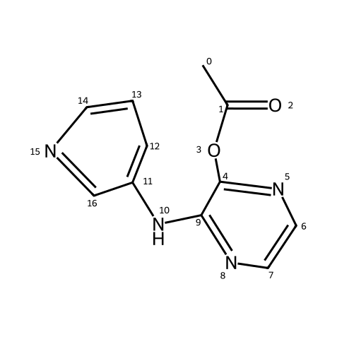 CC(=O)Oc1nccnc1Nc1cccnc1